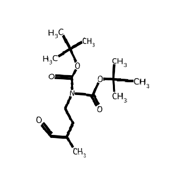 CC(C=O)CCN(C(=O)OC(C)(C)C)C(=O)OC(C)(C)C